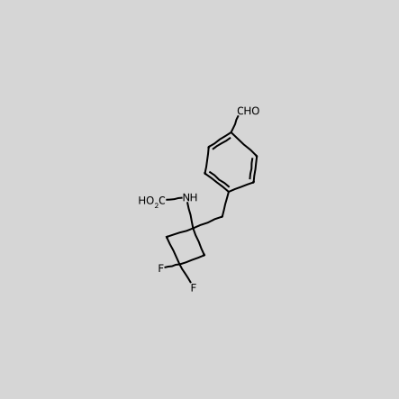 O=Cc1ccc(CC2(NC(=O)O)CC(F)(F)C2)cc1